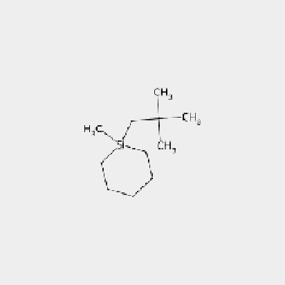 CC(C)(C)C[Si]1(C)CCCCC1